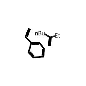 C=C(CC)CCCC.C=Cc1ccccc1